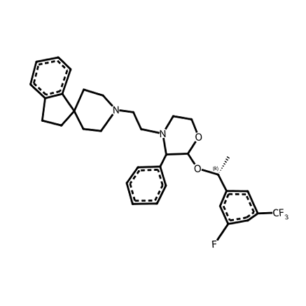 C[C@@H](OC1OCCN(CCN2CCC3(CCc4ccccc43)CC2)C1c1ccccc1)c1cc(F)cc(C(F)(F)F)c1